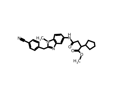 COC(=O)C(CC(=O)Nc1ccc2c(c1)nc(Cc1ccc(C#N)cc1)n2C)C1CCCC1